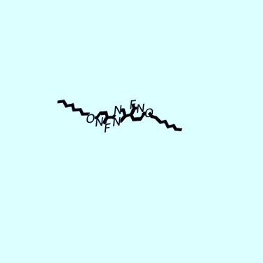 CCCCCCCCOc1ccc(-c2cnc(-c3ccc(OCCCCCCCC)nc3F)nc2)c(F)n1